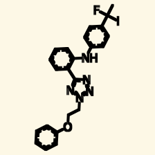 CC(F)(I)c1ccc(Nc2ccccc2-c2nnn(CCOc3ccccc3)n2)cc1